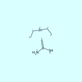 C[CH2][Zn][CH2]C.NC(=S)S